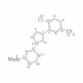 CNc1cc(-n2ccc(-c3cc(C(F)(F)F)ccc3Cl)c2)ncn1